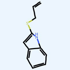 C=CCSc1cc2ccccc2[nH]1